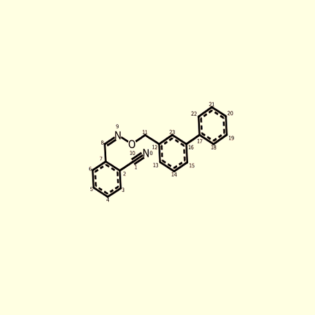 N#Cc1ccccc1/[C]=N\OCc1cccc(-c2ccccc2)c1